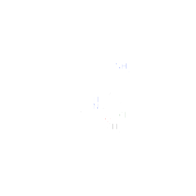 NCCc1ccc(Cl)c(C(=O)NCC23CCCC(CCC2)C3)c1.[CH2]